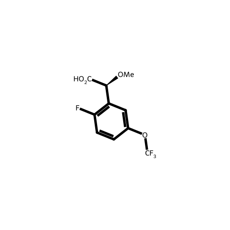 CO[C@H](C(=O)O)c1cc(OC(F)(F)F)ccc1F